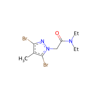 CCN(CC)C(=O)Cn1nc(Br)c(C)c1Br